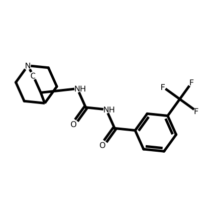 O=C(NC(=O)c1cccc(C(F)(F)F)c1)NC1CN2CCC1CC2